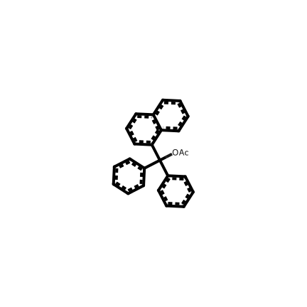 CC(=O)OC(c1ccccc1)(c1ccccc1)c1cccc2ccccc12